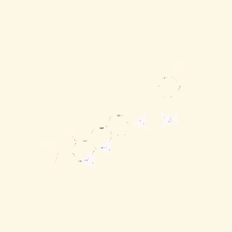 COc1ccc(C2CN(c3c(F)cc4cc5c(=O)c(C(=O)O)cn(C)c5nc4c3F)CCN2)cc1